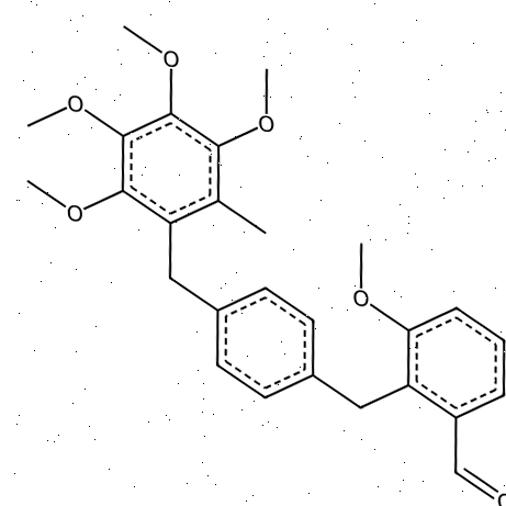 COc1cccc(C=O)c1Cc1ccc(Cc2c(C)c(OC)c(OC)c(OC)c2OC)cc1